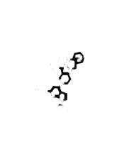 Cc1cc(N2CCc3c(c(C)nn3CC3CC4CCC3(N)CC4)C2)c2ccn(C)c2n1